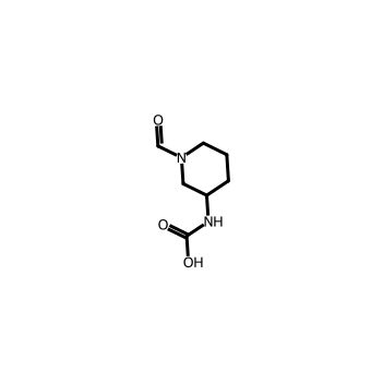 O=CN1CCCC(NC(=O)O)C1